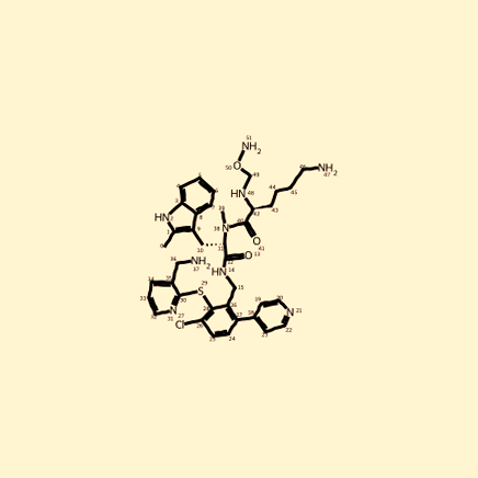 Cc1[nH]c2ccccc2c1C[C@@H](C(=O)NCc1c(-c2ccncc2)ccc(Cl)c1Sc1ncccc1CN)N(C)C(=O)[C@H](CCCCN)NCON